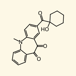 Cn1c2ccccc2c(=O)c(=O)c2cc(C(=O)C3(O)CCCCC3)ccc21